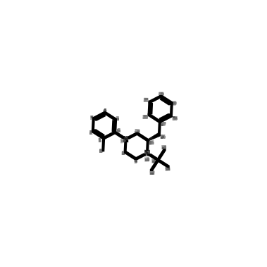 Cc1ccccc1N1CCN(C(C)(C)C)[C@H](Cc2ccccc2)C1